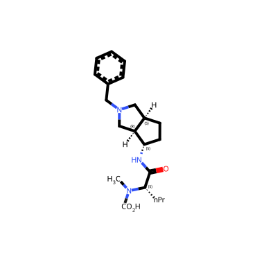 CCC[C@@H](C(=O)N[C@H]1CC[C@@H]2CN(Cc3ccccc3)C[C@@H]21)N(C)C(=O)O